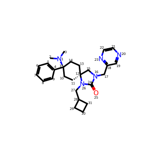 CN(C)[C@]1(c2ccccc2)CC[C@]2(CC1)CN(Cc1cnccn1)C(=O)N2CC1CCC1